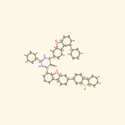 C=C1C(c2cccc3c2oc2cc(-c4ccc5c(c4)sc4ccccc45)ccc23)=NC(c2ccccc2)=NC1c1ccc2c(c1)oc1cccc(-c3ccccc3)c12